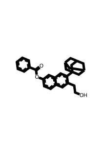 O=C(Oc1ccc2cc(CCO)c(C34CC5CC(CC(C5)C3)C4)cc2c1)c1ccccc1